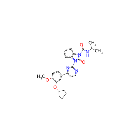 COc1ccc(-c2ccnc(-n3c(=O)n(C(=O)NC(C)C)c4ccccc43)n2)cc1OC1CCCC1